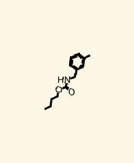 CCCCOC(=O)NCc1cccc(C)c1